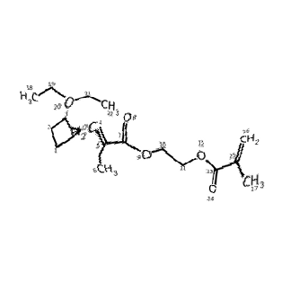 C1CCC1.C=C(C)C(=O)OCCOC(=O)C(=C)C.CCOCC